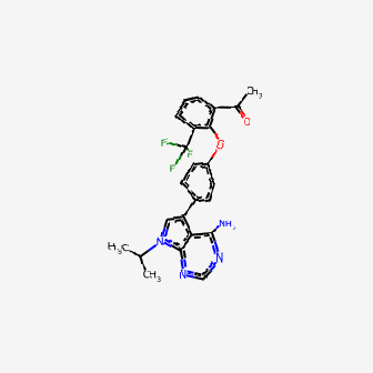 CC(=O)c1cccc(C(F)(F)F)c1Oc1ccc(-c2cn(C(C)C)c3ncnc(N)c23)cc1